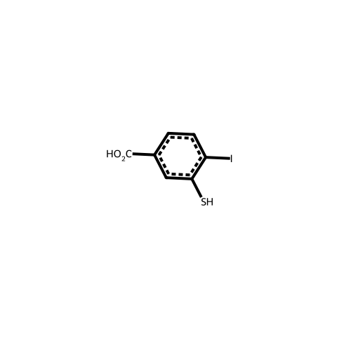 O=C(O)c1ccc(I)c(S)c1